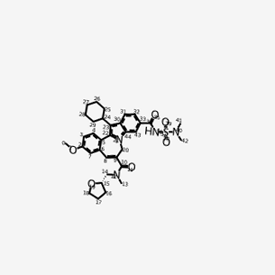 COc1ccc2c(c1)C=C(C(=O)N(C)C[C@@H]1CCCO1)Cn1c-2c(C2CCCCC2)c2ccc(C(=O)NS(=O)(=O)N(C)C)cc21